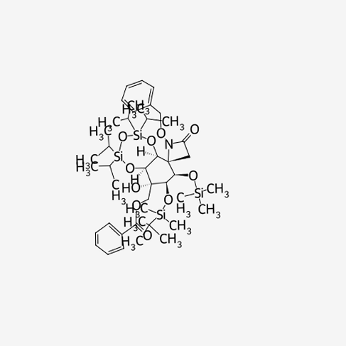 CC(C)[Si]1(C(C)C)O[C@@H]2[C@H](O[Si](C(C)C)(C(C)C)O1)[C@](O)(COC(=O)c1ccccc1)[C@H](O[Si](C)(C)C(C)(C)C)[C@H](O[Si](C)(C)C)[C@]21CC(=O)N1OCc1ccccc1